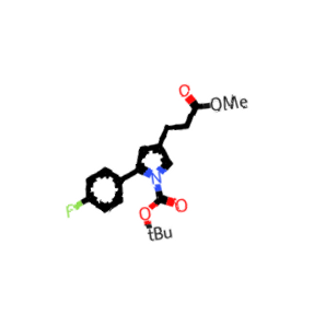 COC(=O)CCc1cc(-c2ccc(F)cc2)n(C(=O)OC(C)(C)C)c1